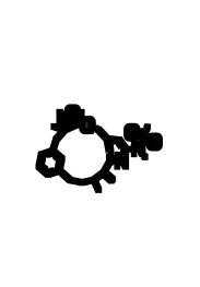 C=C1c2cc(cc(N(C)S(C)(=O)=O)n2)COC(=O)C(C)(N)Cc2cccc(c2)CCC1C